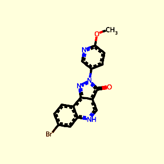 COc1ccc(-n2nc3c4ccc(Br)cc4[nH]cc-3c2=O)cn1